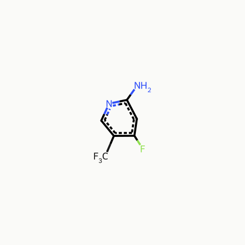 Nc1cc(F)c(C(F)(F)F)cn1